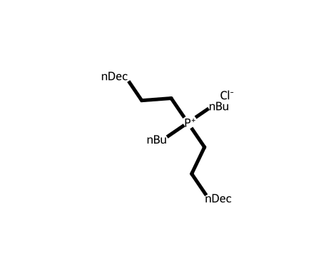 CCCCCCCCCCCC[P+](CCCC)(CCCC)CCCCCCCCCCCC.[Cl-]